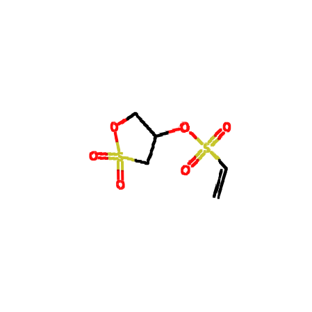 C=CS(=O)(=O)OC1COS(=O)(=O)C1